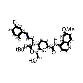 COc1ccc2nccc(NC(=O)[C@@H]3CC[C@@H](N(C/C=C/c4cc(F)ccc4F)C(=O)OC(C)(C)C)[C@@H](CCO)O3)c2n1